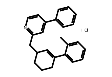 Cc1ccccc1C1=CC(Cc2cc(-c3ccccc3)ccn2)CCC1.Cl